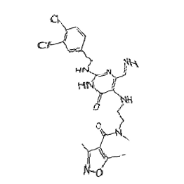 Cc1noc(C)c1C(=O)N(C)CCNc1c(C=N)nc(NCc2ccc(Cl)c(Cl)c2)[nH]c1=O